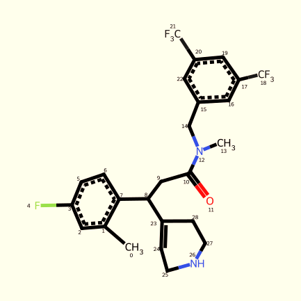 Cc1cc(F)ccc1C(CC(=O)N(C)Cc1cc(C(F)(F)F)cc(C(F)(F)F)c1)C1=CCNCC1